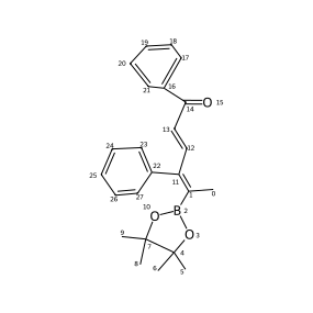 CC(B1OC(C)(C)C(C)(C)O1)=C(C=CC(=O)c1ccccc1)c1ccccc1